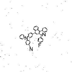 N#Cc1ccc2c(c1)c1cc(-c3cc4c(-c5ccc(F)cc5)nc5ccccc5c4c4ccccc34)ccc1n2-c1ccccc1